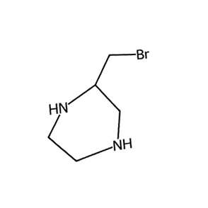 BrCC1CNCCN1